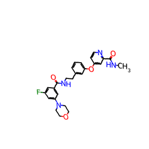 CNC(=O)c1cc(Oc2cccc(CCNC(=O)c3cc(F)cc(N4CCOCC4)c3)c2)ccn1